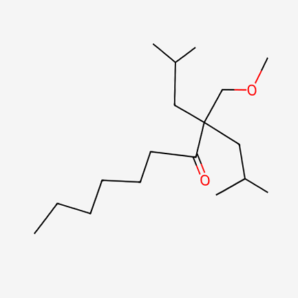 CCCCCCC(=O)C(COC)(CC(C)C)CC(C)C